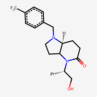 CC(C)[C@@H](CO)N1C(=O)CC[C@H]2C1CCN2Cc1ccc(C(F)(F)F)cc1